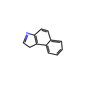 [c]1cc2c(c3ccccc13)CC=N2